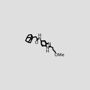 COCCCc1nc2cc(NC(=O)CC3C4CC5CC(C4)CC3C5)ccc2[nH]1